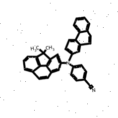 CC1(C)c2cccc3ccc4cc(N(c5ccc(C#N)cc5)c5ccc6c(ccc7ccccc76)c5)cc1c4c23